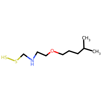 CC(C)CCCOCCNCSS